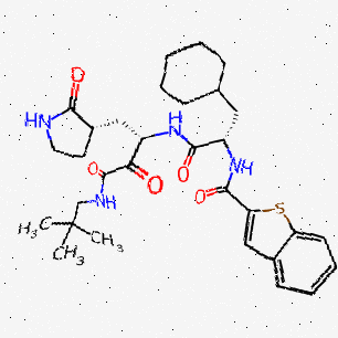 CC(C)(C)CNC(=O)C(=O)[C@H](C[C@@H]1CCNC1=O)NC(=O)[C@H](CC1CCCCC1)NC(=O)c1cc2ccccc2s1